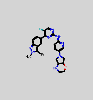 CC(C)c1c2cc(-c3nc(Nc4ccc(N5CC6NCCOC6C5)cn4)ncc3F)ccc2nn1C